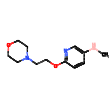 CBc1ccc(OCCN2CCOCC2)nc1